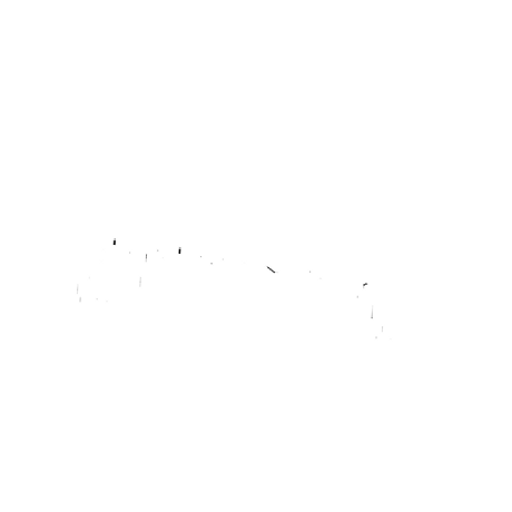 CCCCCCCCCCCCCCCC(=O)OCC(O)COC(=O)CCCCCCCC=CCCCCCCCC(=O)OCC(O)CO